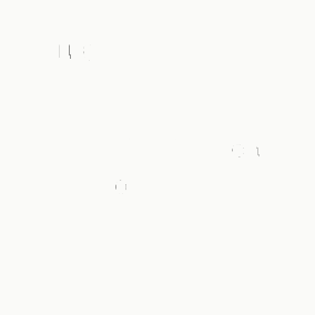 Cc1ccc2c(c1)Oc1ccccc1C2O